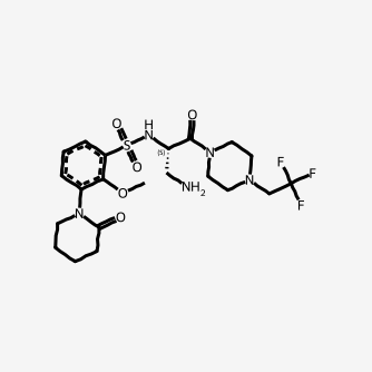 COc1c(N2CCCCC2=O)cccc1S(=O)(=O)N[C@@H](CN)C(=O)N1CCN(CC(F)(F)F)CC1